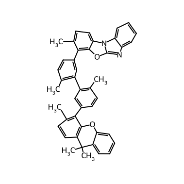 Cc1ccc(-c2c(C)ccc3c2Oc2ccccc2C3(C)C)cc1-c1cc(-c2c(C)ccc3c2oc2nc4ccccc4n23)ccc1C